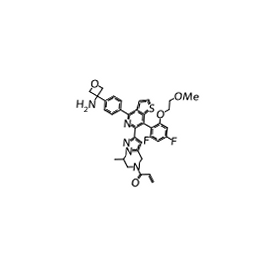 C=CC(=O)N1Cc2cc(-c3nc(-c4ccc(C5(N)COC5)cc4)c4ccsc4c3-c3c(F)cc(F)cc3OCCOC)nn2C(C)C1